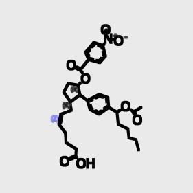 CCCCCC(OC(C)=O)c1ccc(C2[C@@H](C/C=C\CCCC(=O)O)CC[C@H]2OC(=O)c2ccc([N+](=O)[O-])cc2)cc1